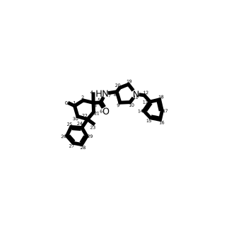 CC1CC(C)(C(=O)NC2CCN(Cc3ccccc3)CC2)CC(C)(c2ccccc2)C1